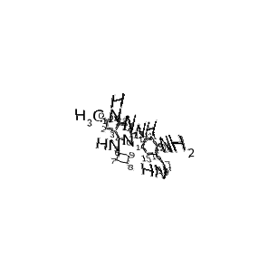 Cc1cc2c(NC3CCC3)nc(Nc3ccc(C=N)c(N)c3)nc2[nH]1